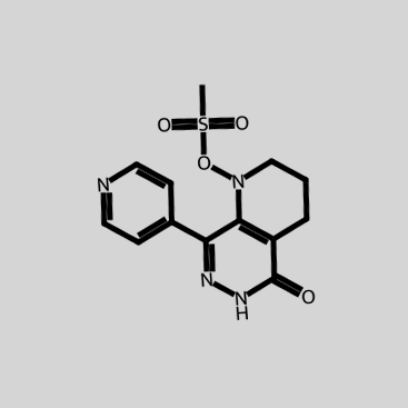 CS(=O)(=O)ON1CCCc2c1c(-c1ccncc1)n[nH]c2=O